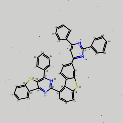 c1ccc(-c2cc(-c3ccc4c(c3)sc3cccc(-c5nc(-c6ccccc6)c6sc7ccccc7c6n5)c34)nc(-c3ccccc3)n2)cc1